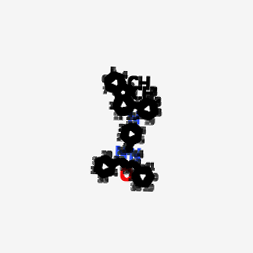 CC1(C)c2ccccc2-c2ccc3c(c21)c1ccccc1n3-c1ccc(-c2nc(-c3ccccc3)c3oc4ccccc4c3n2)cc1